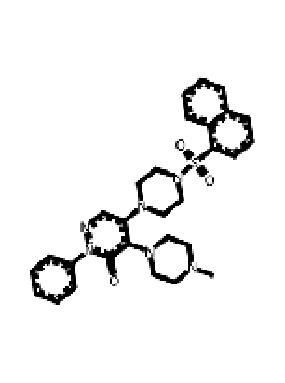 CN1CCN(c2c(N3CCN(S(=O)(=O)c4cccc5ccccc45)CC3)cnn(-c3ccccc3)c2=O)CC1